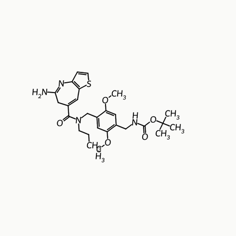 CCCN(Cc1cc(OC)c(CNC(=O)OC(C)(C)C)cc1OC)C(=O)C1=Cc2sccc2N=C(N)C1